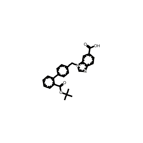 CC(C)(C)OC(=O)c1ccccc1-c1ccc(Cn2cnc3ccc(C(=O)O)cc32)cc1